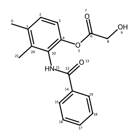 Cc1ccc(OC(=O)CO)c(NC(=O)c2ccccc2)c1C